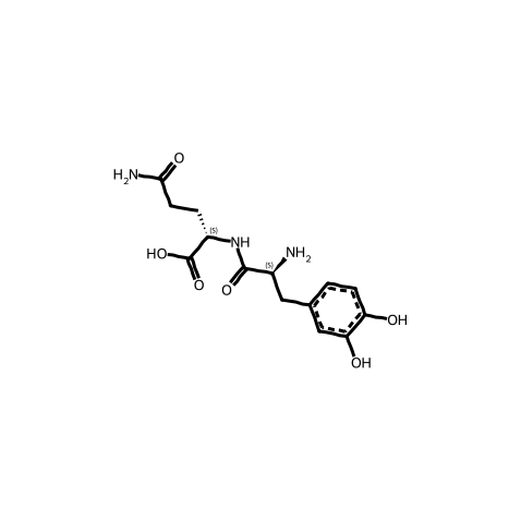 NC(=O)CC[C@H](NC(=O)[C@@H](N)Cc1ccc(O)c(O)c1)C(=O)O